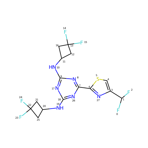 FC(F)c1csc(-c2nc(NC3CC(F)(F)C3)nc(NC3CC(F)(F)C3)n2)n1